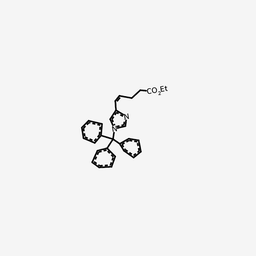 CCOC(=O)CC/C=C\c1cn(C(c2ccccc2)(c2ccccc2)c2ccccc2)cn1